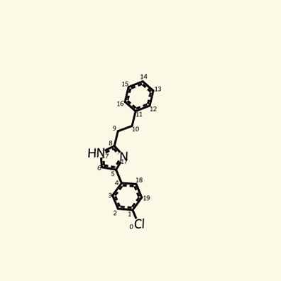 Clc1ccc(-c2c[nH]c(CCc3ccccc3)n2)cc1